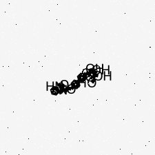 CNC(=O)N(CCOc1ccc(-c2ccc(OC3OC(CO)C(O)C(O)C3O)cc2)cc1)Cc1ccccc1